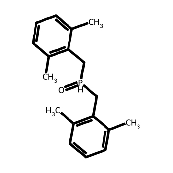 Cc1cccc(C)c1C[PH](=O)Cc1c(C)cccc1C